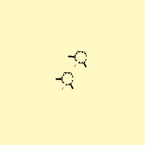 Cn1c(=O)cc[nH]c1=O.Cn1c(=O)cc[nH]c1=O